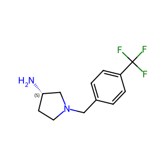 N[C@H]1CCN(Cc2ccc(C(F)(F)F)cc2)C1